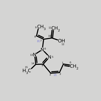 C=C/C=C\c1nn(/C(=C/C)C(=C)O)nc1C